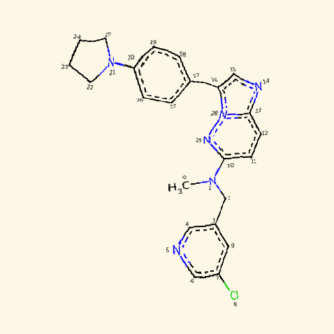 CN(Cc1cncc(Cl)c1)c1ccc2ncc(-c3ccc(N4CCCC4)cc3)n2n1